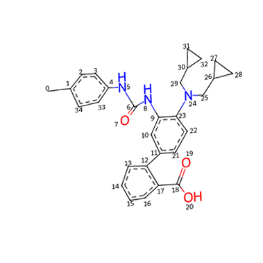 Cc1ccc(NC(=O)Nc2cc(-c3ccccc3C(=O)O)ccc2N(CC2CC2)CC2CC2)cc1